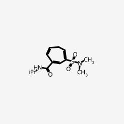 CC(C)NC(=O)C1=CC(S(=O)(=O)N(C)C)=CCC=C1